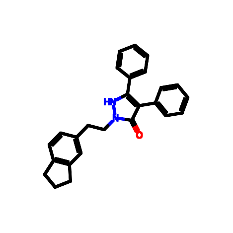 O=c1c(-c2ccccc2)c(-c2ccccc2)[nH]n1CCc1ccc2c(c1)CCC2